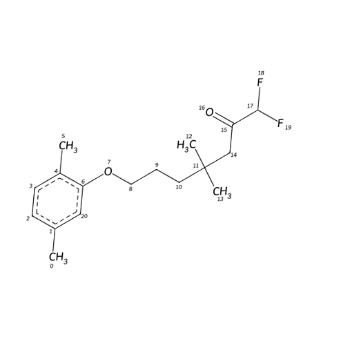 Cc1ccc(C)c(OCCCC(C)(C)CC(=O)C(F)F)c1